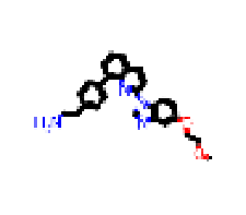 COCCOc1ccc2c(c1)ncn2-c1ccc2cccc(-c3ccc(CCN)cc3)c2n1